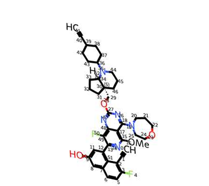 C#Cc1c(F)ccc2cc(O)cc(-c3nc(OC)c4c(N5CCCOCC5)nc(OC[C@]56CCC[C@H]5N(C5CCC(C#C)CC5)CCC6)nc4c3F)c12